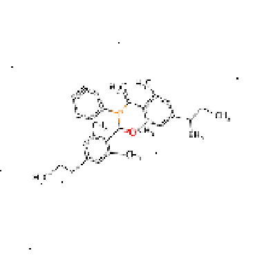 BC(CC)c1cc(C)c(C(=C)P(C(=O)c2c(C)cc(CCC)cc2C)c2cc#ccc2)c(C)c1